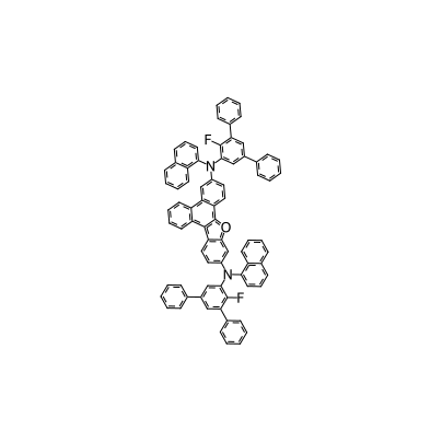 Fc1c(-c2ccccc2)cc(-c2ccccc2)cc1N(c1ccc2c(c1)oc1c3ccc(N(c4cc(-c5ccccc5)cc(-c5ccccc5)c4F)c4cccc5ccccc45)cc3c3ccccc3c21)c1cccc2ccccc12